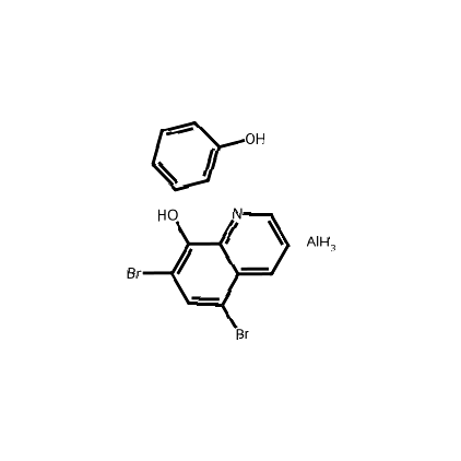 Oc1c(Br)cc(Br)c2cccnc12.Oc1ccccc1.[AlH3]